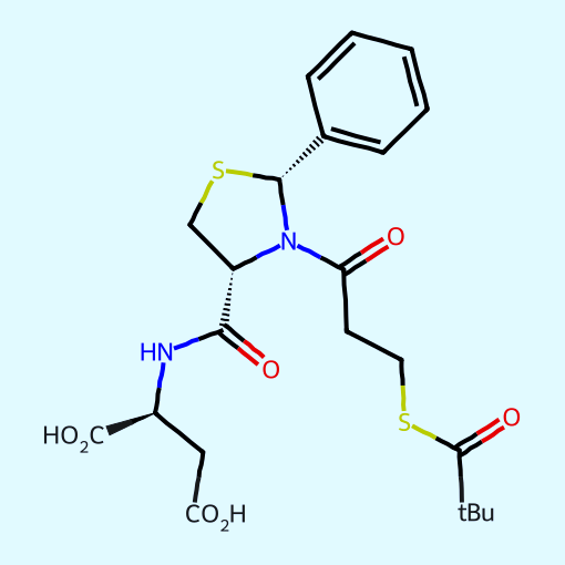 CC(C)(C)C(=O)SCCC(=O)N1[C@@H](c2ccccc2)SC[C@H]1C(=O)N[C@@H](CC(=O)O)C(=O)O